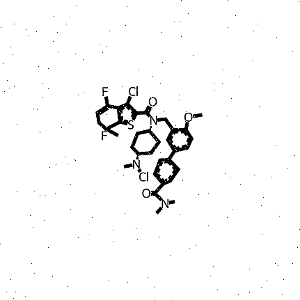 COc1ccc(-c2ccc(C(=O)N(C)C)cc2)cc1CN(C(=O)c1sc2c(c1Cl)C(F)=CCC2(C)F)[C@H]1CC[C@H](N(C)Cl)CC1